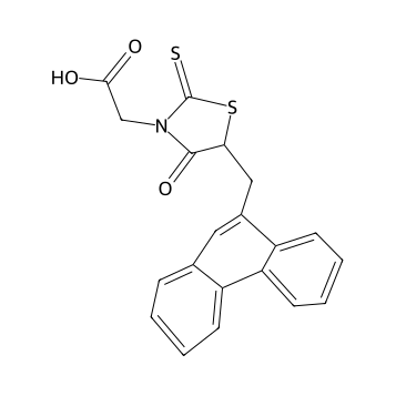 O=C(O)CN1C(=O)C(Cc2cc3ccccc3c3ccccc23)SC1=S